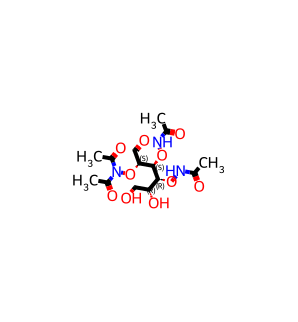 CC(=O)NO[C@@H]([C@H](ONC(C)=O)[C@@H](C=O)ON(C(C)=O)C(C)=O)[C@H](O)CO